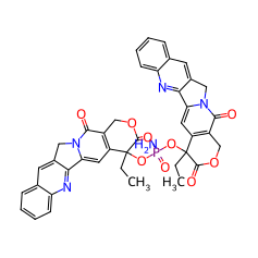 CCC1(OP(N)(=O)OC2(CC)C(=O)OCc3c2cc2n(c3=O)Cc3cc4ccccc4nc3-2)C(=O)OCc2c1cc1n(c2=O)Cc2cc3ccccc3nc2-1